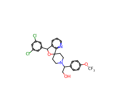 OCC(c1ccc(OC(F)(F)F)cc1)N1CCC2(CC1)OC(c1cc(Cl)cc(Cl)c1)c1cccnc12